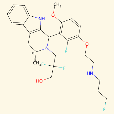 COc1ccc(OCCNCCCF)c(F)c1C1c2[nH]c3ccccc3c2C[C@@H](C)N1CC(F)(F)CO